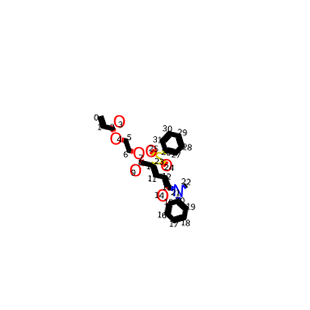 C=CC(=O)OCCOC(=O)/C(=C/C=C1\Oc2ccccc2N1C)S(=O)(=O)c1ccccc1